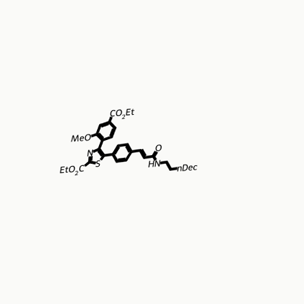 CCCCCCCCCCCCNC(=O)C=Cc1ccc(-c2sc(C(=O)OCC)nc2-c2ccc(C(=O)OCC)cc2OC)cc1